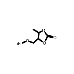 CC(C)OCC1OC(=O)OC1C